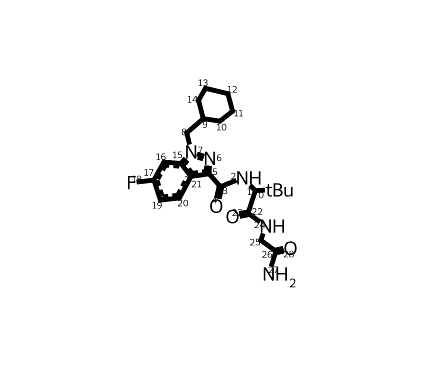 CC(C)(C)C(NC(=O)c1nn(CC2CCCCC2)c2cc(F)ccc12)C(=O)NCC(N)=O